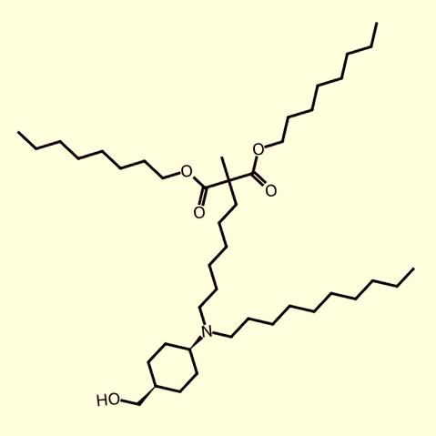 CCCCCCCCCCN(CCCCCCC(C)(C(=O)OCCCCCCCC)C(=O)OCCCCCCCC)[C@H]1CC[C@@H](CO)CC1